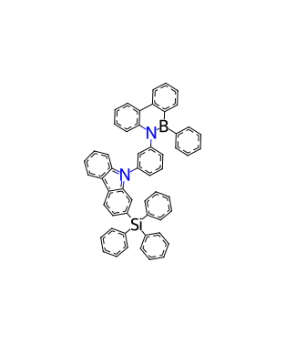 c1ccc(B2c3ccccc3-c3ccccc3N2c2cccc(-n3c4ccccc4c4ccc([Si](c5ccccc5)(c5ccccc5)c5ccccc5)cc43)c2)cc1